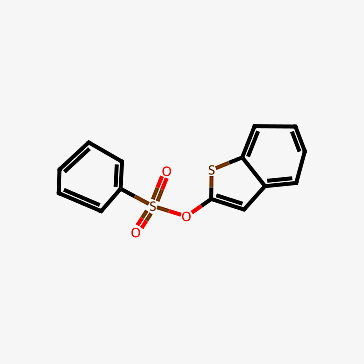 O=S(=O)(Oc1cc2ccccc2s1)c1ccccc1